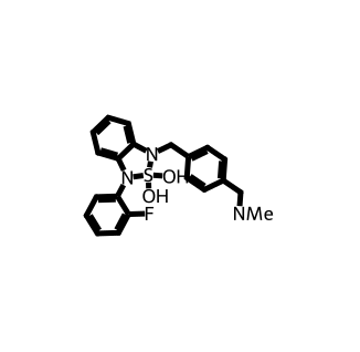 CNCc1ccc(CN2c3ccccc3N(c3ccccc3F)S2(O)O)cc1